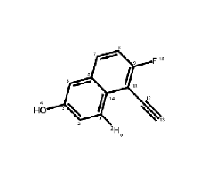 [2H]c1cc(O)cc2ccc(F)c(C#C)c12